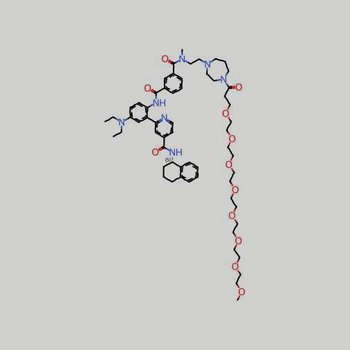 CCN(CC)c1ccc(NC(=O)c2cccc(C(=O)N(C)CCN3CCCN(C(=O)CCOCCOCCOCCOCCOCCOCCOCCOC)CC3)c2)c(-c2cc(C(=O)N[C@H]3CCCc4ccccc43)ccn2)c1